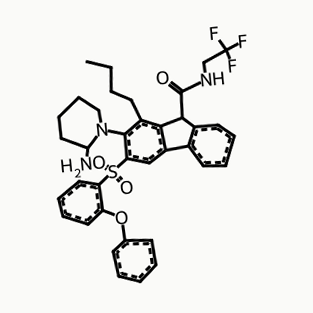 CCCCc1c2c(cc(S(=O)(=O)c3ccccc3Oc3ccccc3)c1N1CCCCC1N)-c1ccccc1C2C(=O)NCC(F)(F)F